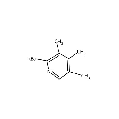 Cc1cnc(C(C)(C)C)c(C)c1C